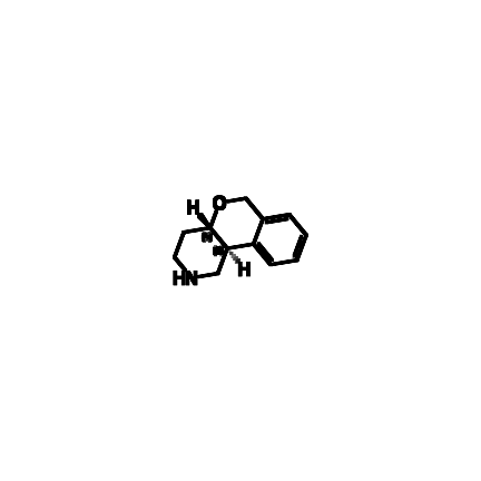 c1ccc2c(c1)CO[C@H]1CCNC[C@H]21